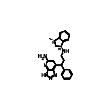 C[C@H]1C[C@@H](NCCC(c2ccccc2)c2cc(N)nc3[nH]nnc23)c2ccccc21